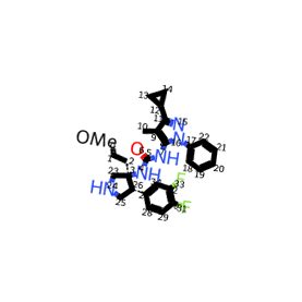 COCC[C@@]1(NC(=O)Nc2c(C)c(C3CC3)nn2-c2ccccc2)CNC[C@H]1c1ccc(F)c(F)c1